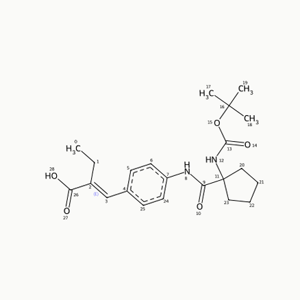 CC/C(=C\c1ccc(NC(=O)C2(NC(=O)OC(C)(C)C)CCCC2)cc1)C(=O)O